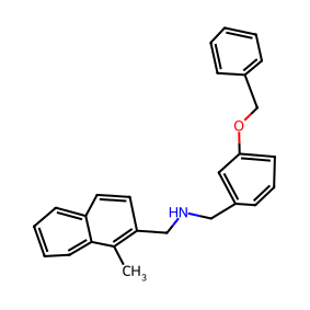 Cc1c(CNCc2cccc(OCc3ccccc3)c2)ccc2ccccc12